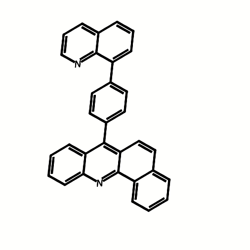 c1cnc2c(-c3ccc(-c4c5ccccc5nc5c4ccc4ccccc45)cc3)cccc2c1